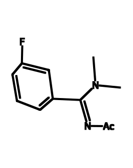 CC(=O)/N=C(/c1cccc(F)c1)N(C)C